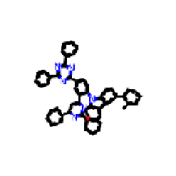 Cc1ccccc1-c1ccc2c(c1)c1ccccc1n2-c1ccc(-c2nc(-c3ccccc3)nc(-c3ccccc3)n2)cc1-c1cc(-c2ccccc2)nc(-c2ccccc2)n1